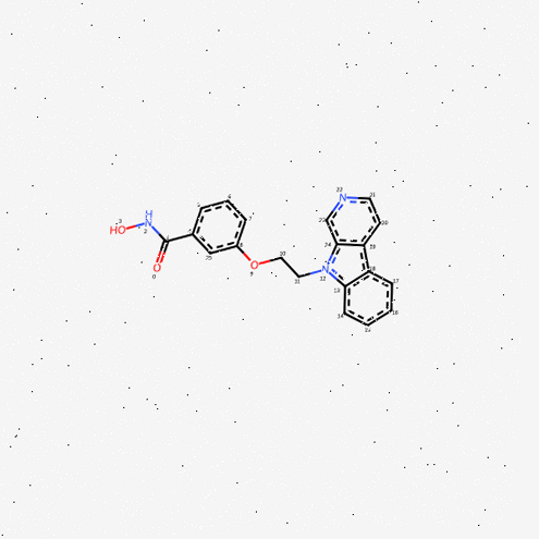 O=C(NO)c1cccc(OCCn2c3ccccc3c3ccncc32)c1